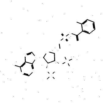 CC(C)(C)[Si](C)(C)O[C@@H]1[C@H](O[Si](C)(C)C(C)(C)C)[C@@H](COS(=O)(=O)NC(=O)c2ccccc2O)O[C@H]1n1cnc2c(N)ncnc21